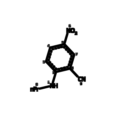 [CH2]CCNc1ccc([N+](=O)[O-])cc1C#N